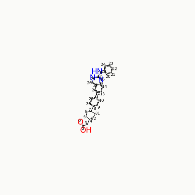 O=C(O)CC1CCC(c2ccc(-c3ccc4nc(Nc5ccccc5)ncc4c3)cc2)CC1